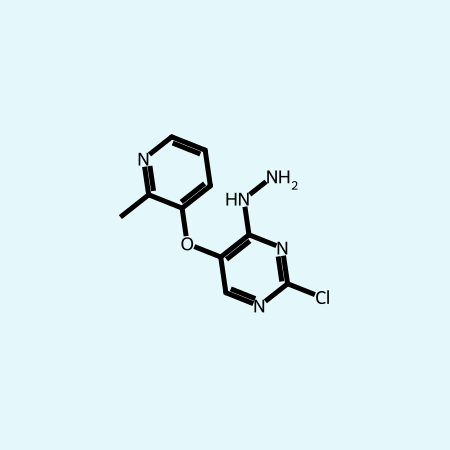 Cc1ncccc1Oc1cnc(Cl)nc1NN